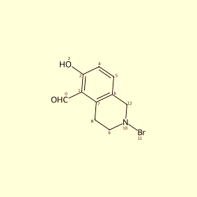 O=Cc1c(O)ccc2c1CCN(Br)C2